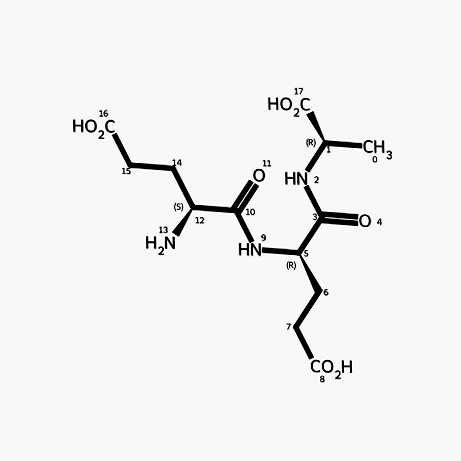 C[C@@H](NC(=O)[C@@H](CCC(=O)O)NC(=O)[C@@H](N)CCC(=O)O)C(=O)O